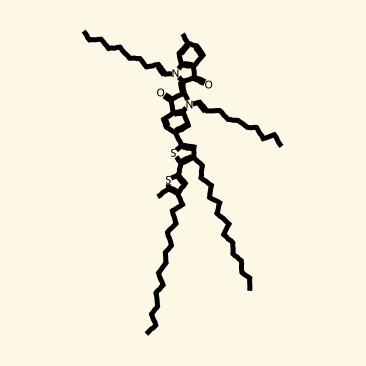 CCCCCCCC/C=C/N1/C(=C2\C(=O)c3ccc(-c4cc(CCCCCCCCCCCCCC)c(-c5cc(CCCCCCCCCCCCCC)c(C)s5)s4)cc3N2/C=C/CCCCCCCC)C(=O)c2ccc(C)cc21